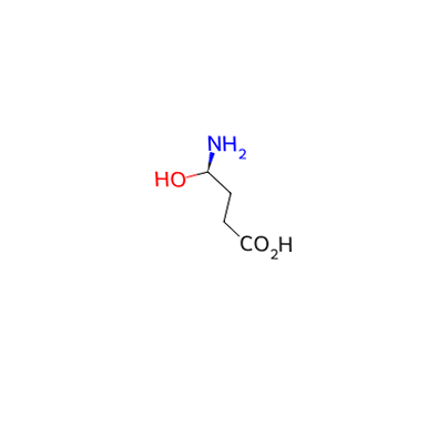 N[C@H](O)CCC(=O)O